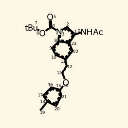 CC(=O)Nc1cn(C(=O)OC(C)(C)C)c2ccc(CCOc3ccc(C)cc3)cc12